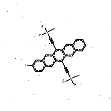 CC(C)[Si](C#Cc1c2cc3ccccc3cc2c(C#C[Si](C(C)C)(C(C)C)C(C)C)c2cc3cc(F)ccc3cc12)(C(C)C)C(C)C